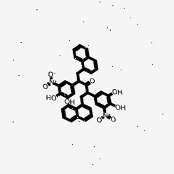 O=C(C(Cc1cccc2ccccc12)c1cc(O)c(O)c([N+](=O)[O-])c1)C(Cc1cccc2ccccc12)c1cc(O)c(O)c([N+](=O)[O-])c1